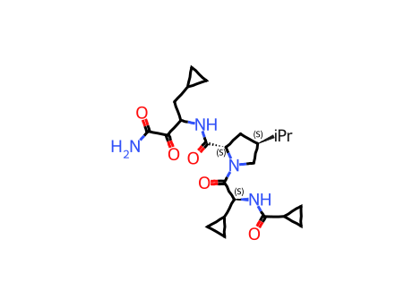 CC(C)[C@@H]1C[C@@H](C(=O)NC(CC2CC2)C(=O)C(N)=O)N(C(=O)[C@@H](NC(=O)C2CC2)C2CC2)C1